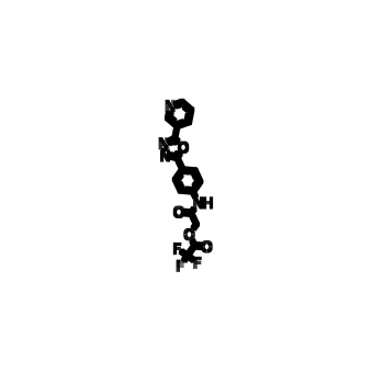 O=C(COC(=O)C(F)(F)F)Nc1ccc(-c2nnc(-c3cccnc3)o2)cc1